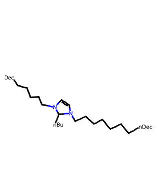 CCCCCCCCCCCCCCCCCN1C=CN(CCCCCCCCCCCCCCC)C1CCCC